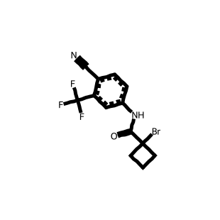 N#Cc1ccc(NC(=O)C2(Br)CCC2)cc1C(F)(F)F